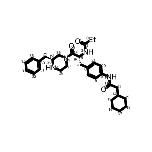 CCC(=O)N[C@H](Cc1ccc(NC(=O)CC2CCCCC2)cc1)C(=O)N1CCN[C@@H](Cc2ccccc2)C1